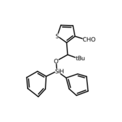 CC(C)(C)C(O[SiH](c1ccccc1)c1ccccc1)c1sccc1C=O